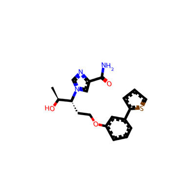 C[C@H](O)[C@@H](CCOc1cccc(-c2cccs2)c1)n1cnc(C(N)=O)c1